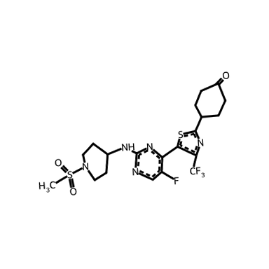 CS(=O)(=O)N1CCC(Nc2ncc(F)c(-c3sc(C4CCC(=O)CC4)nc3C(F)(F)F)n2)CC1